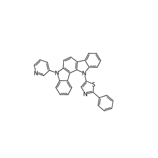 c1ccc(-c2ncc(-n3c4ccccc4c4ccc5c(c6ccccc6n5-c5cccnc5)c43)s2)cc1